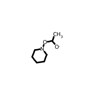 CC([O])ON1CCCCC1